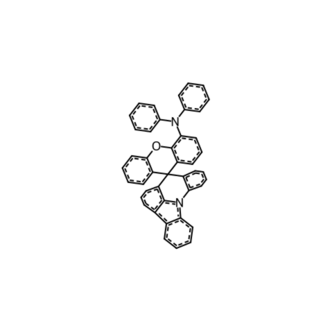 c1ccc(N(c2ccccc2)c2cccc3c2Oc2ccccc2C32c3ccccc3-n3c4ccccc4c4cccc2c43)cc1